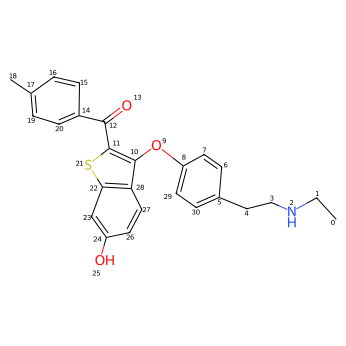 CCNCCc1ccc(Oc2c(C(=O)c3ccc(C)cc3)sc3cc(O)ccc23)cc1